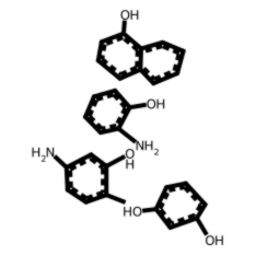 Cc1ccc(N)cc1O.Nc1ccccc1O.Oc1cccc(O)c1.Oc1cccc2ccccc12